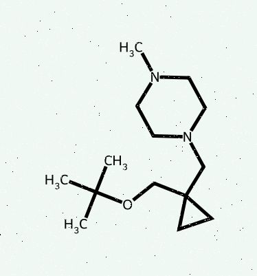 CN1CCN(CC2(COC(C)(C)C)CC2)CC1